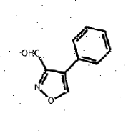 O=[C]c1nocc1-c1ccccc1